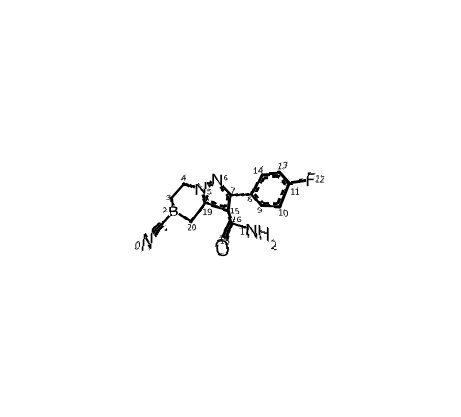 N#CB1CCn2nc(-c3ccc(F)cc3)c(C(N)=O)c2C1